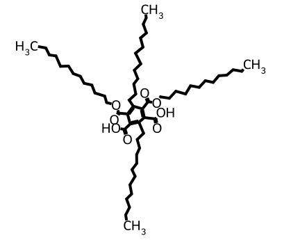 CCCCCCCCCCCCCOC(=O)c1c(CCCCCCCCCCCCC)c(C(=O)OCCCCCCCCCCCCC)c(C(=O)O)c(CCCCCCCCCCCCC)c1C(=O)O